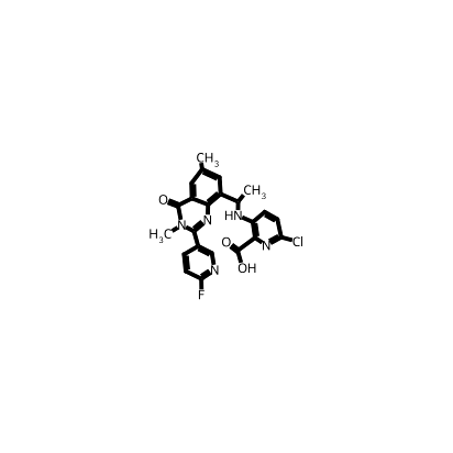 Cc1cc(C(C)Nc2ccc(Cl)nc2C(=O)O)c2nc(-c3ccc(F)nc3)n(C)c(=O)c2c1